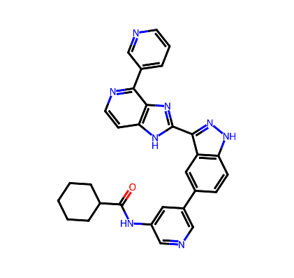 O=C(Nc1cncc(-c2ccc3[nH]nc(-c4nc5c(-c6cccnc6)nccc5[nH]4)c3c2)c1)C1CCCCC1